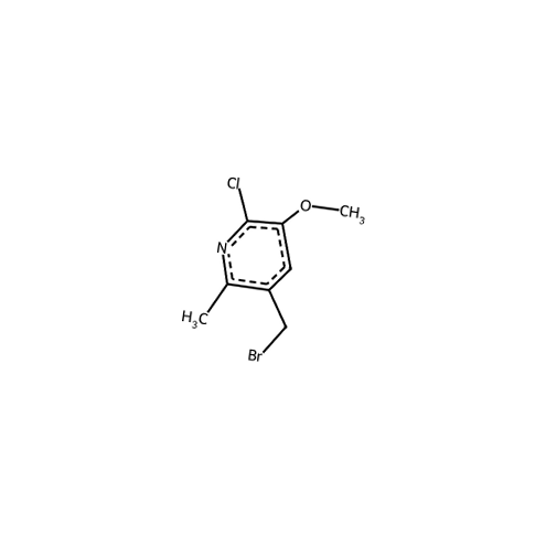 COc1cc(CBr)c(C)nc1Cl